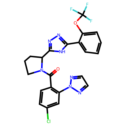 O=C(c1ccc(Cl)cc1-n1nccn1)N1CCCC1c1nnc(-c2ccccc2OC(F)(F)F)[nH]1